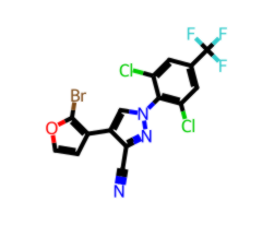 N#Cc1nn(-c2c(Cl)cc(C(F)(F)F)cc2Cl)cc1-c1ccoc1Br